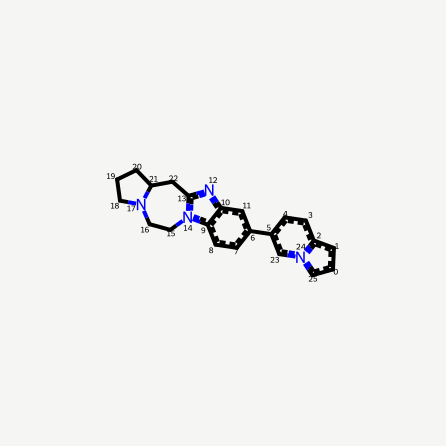 c1cc2ccc(-c3ccc4c(c3)nc3n4CCN4CCCC4C3)cn2c1